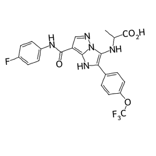 CC(Nc1c(-c2ccc(OC(F)(F)F)cc2)[nH]c2c(C(=O)Nc3ccc(F)cc3)cnn12)C(=O)O